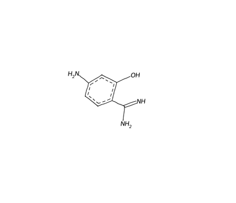 N=C(N)c1ccc(N)cc1O